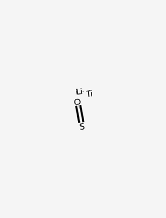 O=S.[Li].[Ti]